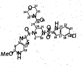 COC1Cc2nc(C(=O)N3CCN(S(=O)(=O)c4cc5cc(Cl)ccc5[nH]4)CC3CC(=O)N3CCOCC3)sc2CN1